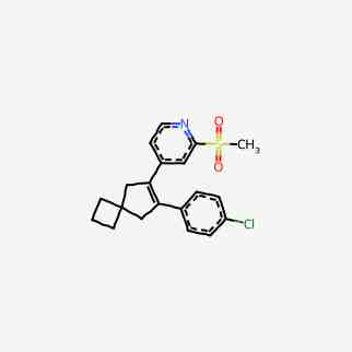 CS(=O)(=O)c1cc(C2=C(c3ccc(Cl)cc3)CC3(CCC3)C2)ccn1